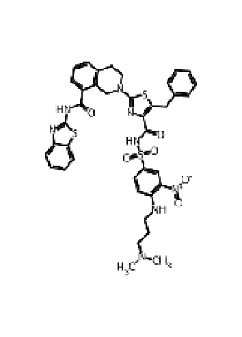 CN(C)CCCNc1ccc(S(=O)(=O)NC(=O)c2nc(N3CCc4cccc(C(=O)Nc5nc6ccccc6s5)c4C3)sc2Cc2ccccc2)cc1[N+](=O)[O-]